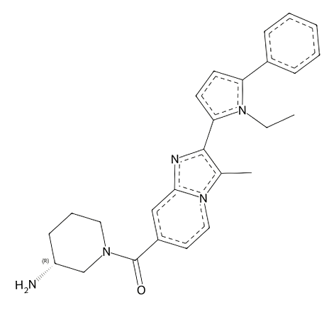 CCn1c(-c2ccccc2)ccc1-c1nc2cc(C(=O)N3CCC[C@@H](N)C3)ccn2c1C